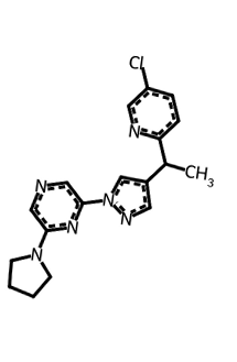 CC(c1cnn(-c2cncc(N3CCCC3)n2)c1)c1ccc(Cl)cn1